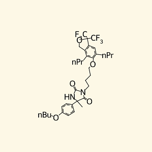 CCCCOc1ccc(C2(C)NC(=O)N(CCCCOc3c(CCC)cc4c(c3CCC)COC4(C(F)(F)F)C(F)(F)F)C2=O)cc1